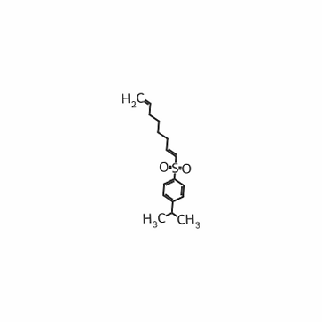 C=CCCCCC=CS(=O)(=O)c1ccc(C(C)C)cc1